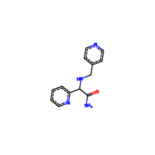 NC(=O)C(NCc1ccncc1)c1ccccn1